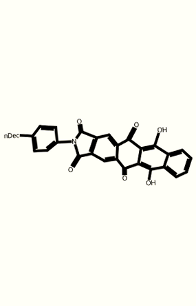 CCCCCCCCCCc1ccc(-n2c(=O)c3cc4c(=O)c5c(O)c6ccccc6c(O)c5c(=O)c4cc3c2=O)cc1